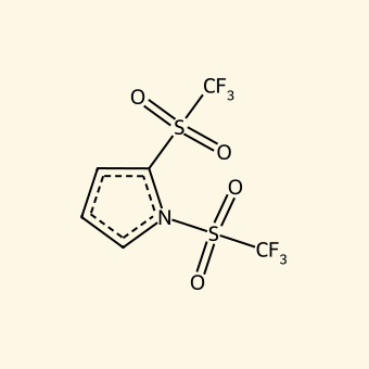 O=S(=O)(c1cccn1S(=O)(=O)C(F)(F)F)C(F)(F)F